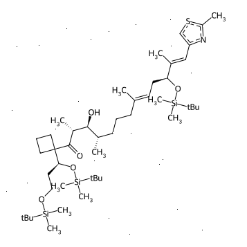 C/C(=C\C[C@H](O[Si](C)(C)C(C)(C)C)/C(C)=C/c1csc(C)n1)CCC[C@H](C)[C@H](O)[C@@H](C)C(=O)C1([C@H](CCO[Si](C)(C)C(C)(C)C)O[Si](C)(C)C(C)(C)C)CCC1